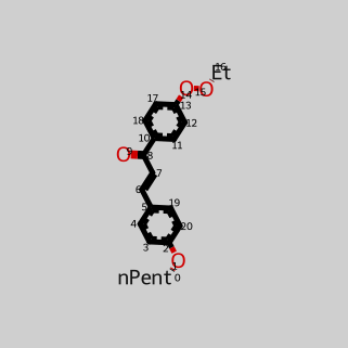 CCCCCOc1ccc(C=CC(=O)c2ccc(OOCC)cc2)cc1